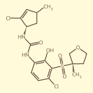 CC1C=C(Cl)[C@H](NC(=O)Nc2ccc(Cl)c(S(=O)(=O)[C@@]3(C)CCOC3)c2O)C1